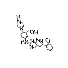 OCc1cc(Nc2ncc3cc(-c4ccccc4Cl)nnc3n2)ccc1N1CCNCC1